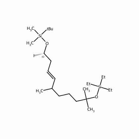 CC[Si](CC)(CC)OC(C)(C)CCCC(C)C=CC[C@H](I)O[Si](C)(C)C(C)(C)C